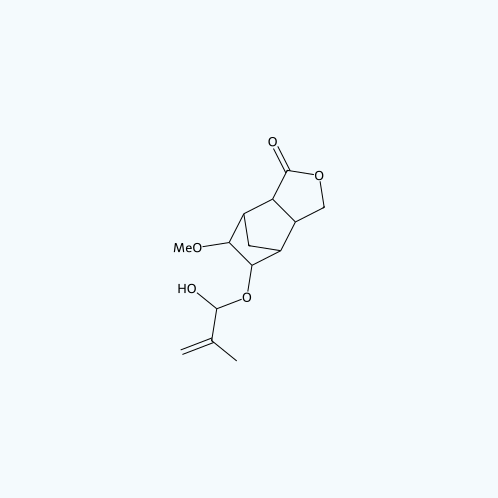 C=C(C)C(O)OC1C2CC(C1OC)C1C(=O)OCC21